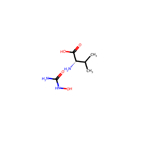 CC(C)[C@H](N)C(=O)O.NC(=O)NO